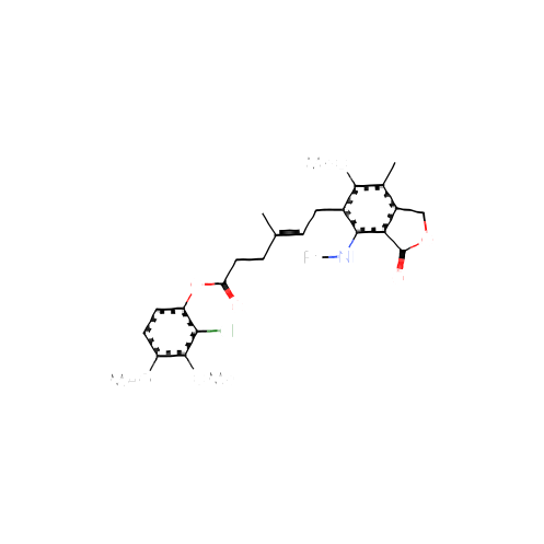 COc1ccc(OC(=O)CC/C(C)=C/Cc2c(NC(C)C)c3c(c(C)c2OC)COC3=O)c(Cl)c1OC